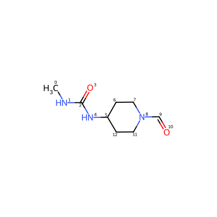 CNC(=O)NC1CCN(C=O)CC1